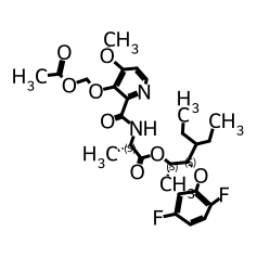 CCC(CC)[C@H](Oc1cc(F)ccc1F)[C@H](C)OC(=O)[C@H](C)NC(=O)c1nccc(OC)c1OCOC(C)=O